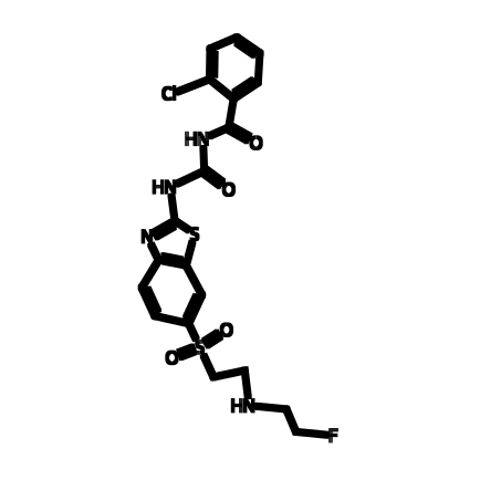 O=C(NC(=O)c1ccccc1Cl)Nc1nc2ccc(S(=O)(=O)CCNCCF)cc2s1